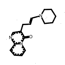 O=c1c(CC=CN2CCCCC2)cnc2ccccn12